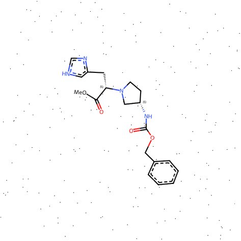 COC(=O)[C@H](Cc1c[nH]cn1)N1CC[C@H](NC(=O)OCc2ccccc2)C1